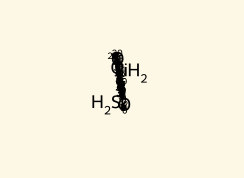 CCO[SiH2]CCCSSSSCCC[SiH2]OCCOC(C)C